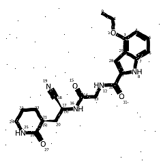 CCOc1cccc2[nH]c(C(=O)NCC(=O)N[C@H](C#N)C[C@@H]3CCCNC3=O)cc12